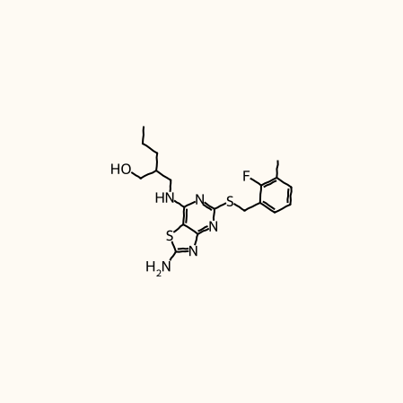 CCCC(CO)CNc1nc(SCc2cccc(C)c2F)nc2nc(N)sc12